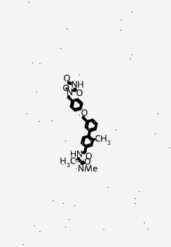 CNC(=O)[C@H](C)NC(=O)c1ccc(-c2cccc(COc3ccc(Cn4oc(=O)[nH]c4=O)cc3)c2)c(C)c1